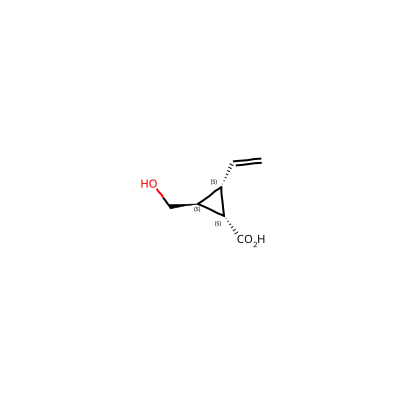 C=C[C@H]1[C@H](CO)[C@H]1C(=O)O